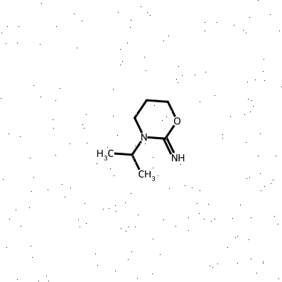 CC(C)N1CCCOC1=N